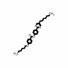 C=CCCCCOc1ccc(C(=O)Oc2ccc(-c3ncc(CCCCCCC)cn3)cc2)cc1